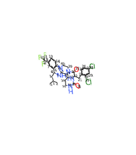 CC(C)CC(N)c1cc(C(F)(F)F)ccc1N1CCN(C(=O)C(Cc2ccc(Cl)cc2Cl)N2CCCNC2=O)CC1